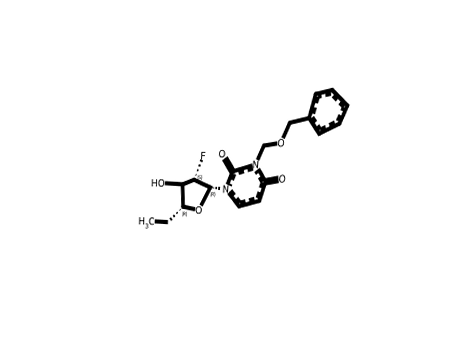 CC[C@H]1O[C@@H](n2ccc(=O)n(COCc3ccccc3)c2=O)[C@@H](F)C1O